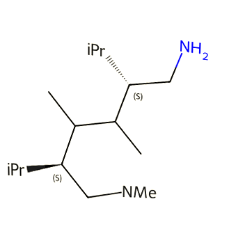 CNC[C@@H](C(C)C)C(C)C(C)[C@@H](CN)C(C)C